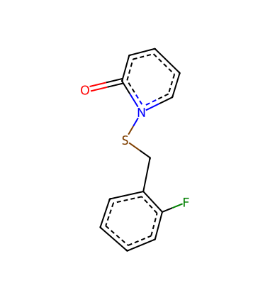 O=c1ccccn1SCc1ccccc1F